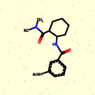 CC(=O)Nc1cccc(C(=O)NC2CCCCC2C(=O)N(C)C#N)c1